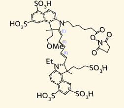 CC[N+]1=C(/C=C/C=C/C=C2/N(CCCCCC(=O)ON3C(=O)CCC3=O)c3ccc4c(S(=O)(=O)O)cc(S(=O)(=O)O)cc4c3C2(C)CCOC)C(C)(CCCS(=O)(=O)O)c2c1ccc1c(S(=O)(=O)O)cc(S(=O)(=O)O)cc21